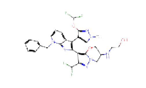 Cn1cc(-c2c3cccn(Cc4ccccc4)c-3nc2-c2c(C(F)F)nn3c2OCC(NCCO)C3)c(OC(F)F)n1